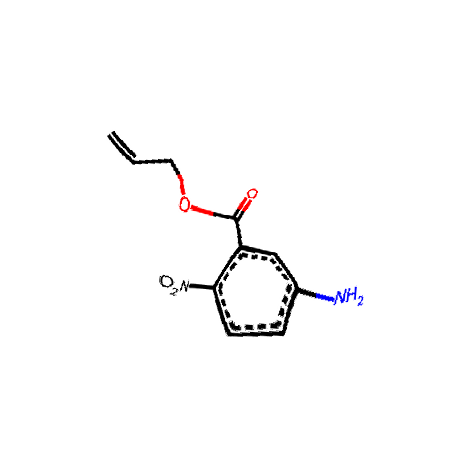 C=CCOC(=O)c1cc(N)ccc1[N+](=O)[O-]